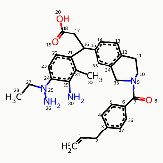 C=CCc1ccc(C(=O)N2CCc3ccc(C(CC(=O)O)c4ccc(N(N)CC)c(N)c4C)cc3C2)cc1